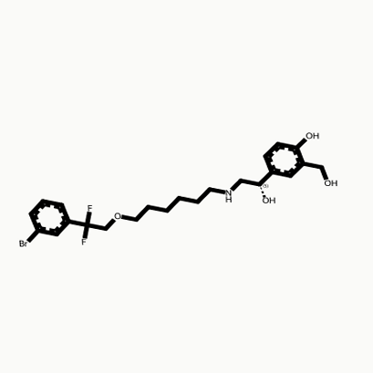 OCc1cc([C@H](O)CNCCCCCCOCC(F)(F)c2cccc(Br)c2)ccc1O